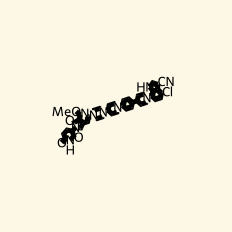 COc1nc(N2CCN(C3CCN(c4ccc(C5CCN(c6ccc(Cl)c7c(C#N)c[nH]c67)CC5)cc4)CC3)CC2)cc2c1C(=O)N(C1CCC(=O)NC1=O)C2